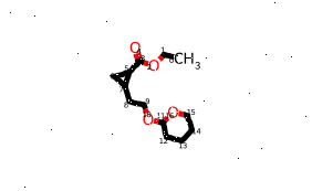 CCOC(=O)C1CC1CCOC1CCCCO1